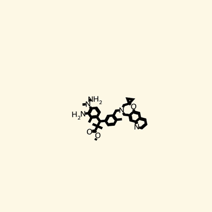 COC(=O)C(C)(C)C(c1ccc(C)c(CN2Cc3cc4ncccc4cc3OC3(CC3)C2)c1)c1ccc(N(C)N)c(N)c1C